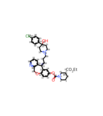 CCOC(=O)[C@@H]1CCCN(C(=O)Oc2ccc3c(c2)/C(=C/CCN2CCC(O)(c4ccc(Cl)cc4)CC2)c2cccnc2CO3)C1